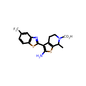 CC1c2sc(N)c(-c3nc4cc(C(F)(F)F)ccc4s3)c2CCN1C(=O)O